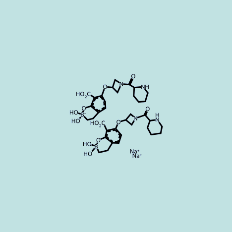 O=C(O)c1c(OC2CN(C(=O)C3CCCCN3)C2)ccc2c1O[B-](O)(O)CC2.O=C(O)c1c(OC2CN(C(=O)C3CCCCN3)C2)ccc2c1O[B-](O)(O)CC2.[Na+].[Na+]